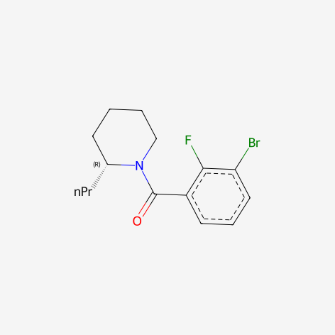 CCC[C@@H]1CCCCN1C(=O)c1cccc(Br)c1F